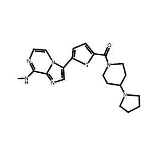 CNc1nccn2c(-c3ccc(C(=O)N4CCC(N5CCCC5)CC4)s3)cnc12